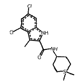 Cc1c(C(=O)NC2CC[Si](C)(C)CC2)[nH]c2cc(Cl)cc(Cl)c12